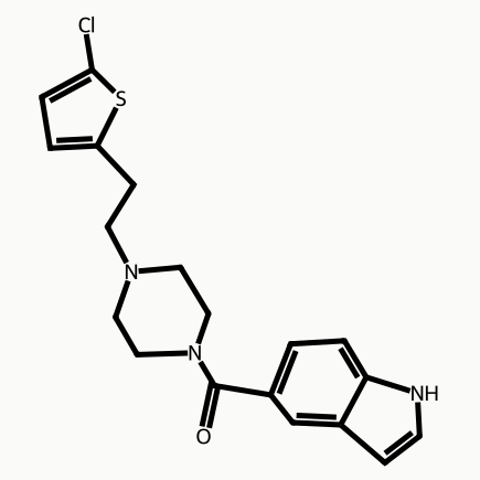 O=C(c1ccc2[nH]ccc2c1)N1CCN(CCc2ccc(Cl)s2)CC1